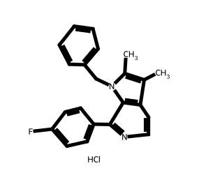 Cc1c(C)n(Cc2ccccc2)c2c(-c3ccc(F)cc3)nccc12.Cl